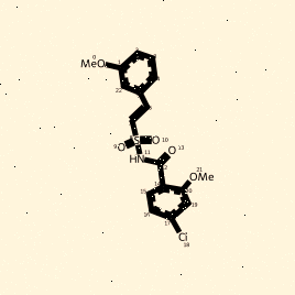 COc1cccc(C=CS(=O)(=O)NC(=O)c2ccc(Cl)cc2OC)c1